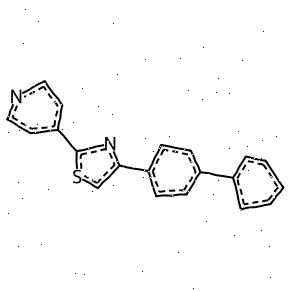 c1ccc(-c2ccc(-c3csc(-c4ccncc4)n3)cc2)cc1